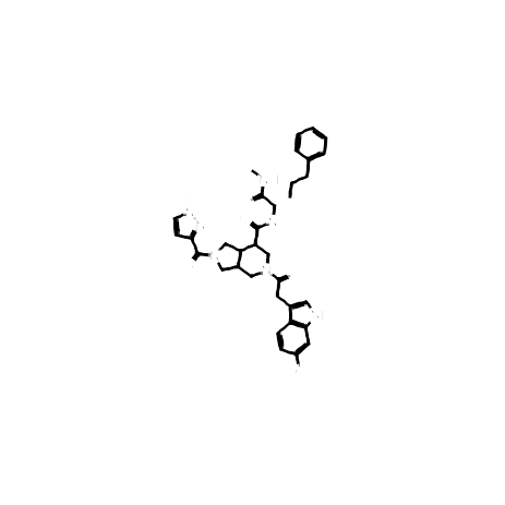 CNC(=O)[C@H](CCCc1ccccc1)NC(=O)C1CN(C(=O)Cc2c[nH]c3cc(Cl)ccc23)CC2CN(C(=O)c3cc[nH]n3)CC21